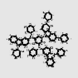 C1=CCC(C2C=Cc3c(c4cc(-c5ccccc5)ccc4n3-c3cc(N(c4ccccc4)c4ccc5c(c4)c4ccccc4n5C4=CCCC=C4)cc(N(c4ccccc4)c4ccc5c(c4)c4ccccc4n5-c4ccccc4)c3)C2)C=C1